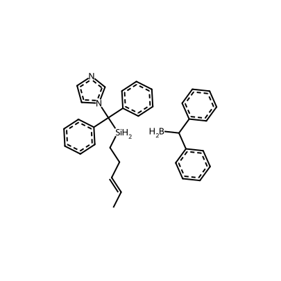 BC(c1ccccc1)c1ccccc1.CC=CCC[SiH2]C(c1ccccc1)(c1ccccc1)n1ccnc1